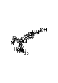 Cc1c(COc2cc(OCc3cncc(C#N)c3)c(CN3CCC(/C(=N/N)NN)C3)cc2Cl)cccc1-c1cccc(OCCCNCCCO)c1Cl